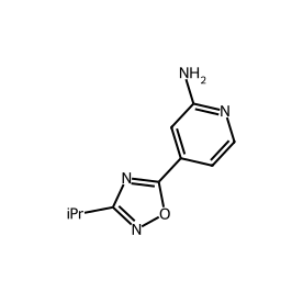 CC(C)c1noc(-c2ccnc(N)c2)n1